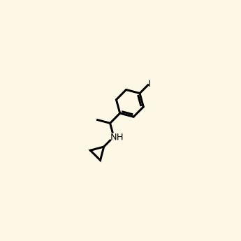 CC(NC1CC1)C1=CC=C(I)CC1